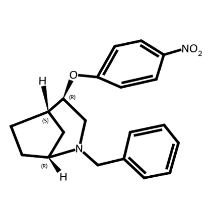 O=[N+]([O-])c1ccc(O[C@H]2CN(Cc3ccccc3)[C@@H]3CC[C@H]2C3)cc1